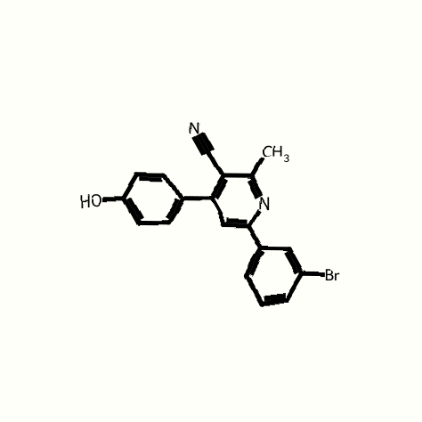 Cc1nc(-c2cccc(Br)c2)cc(-c2ccc(O)cc2)c1C#N